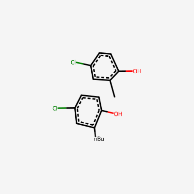 CCCCc1cc(Cl)ccc1O.Cc1cc(Cl)ccc1O